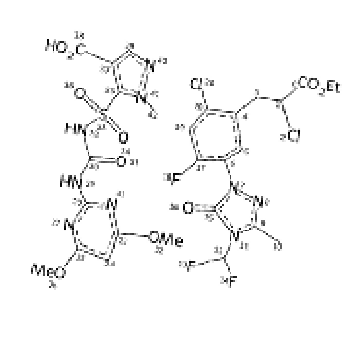 CCOC(=O)C(Cl)Cc1cc(-n2nc(C)n(C(F)F)c2=O)c(F)cc1Cl.COc1cc(OC)nc(NC(=O)NS(=O)(=O)c2c(C(=O)O)cnn2C)n1